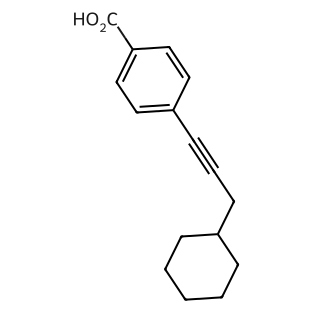 O=C(O)c1ccc(C#CCC2CCCCC2)cc1